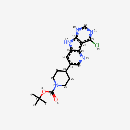 CC(C)(C)OC(=O)N1CCC(c2cnc3c(c2)[nH]c2ncnc(Cl)c23)CC1